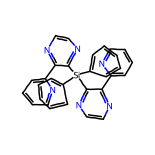 c1ccc([Si](c2ccccc2)(c2nccnc2-c2ccccn2)c2nccnc2-c2ccccn2)cc1